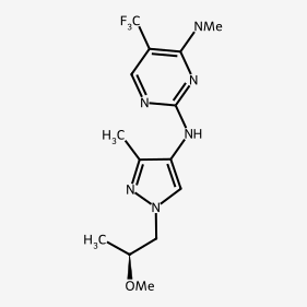 CNc1nc(Nc2cn(C[C@H](C)OC)nc2C)ncc1C(F)(F)F